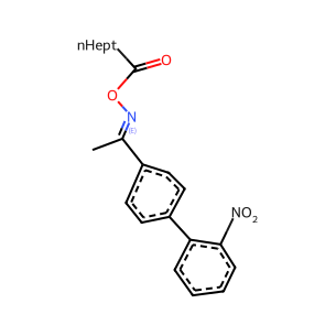 CCCCCCCC(=O)O/N=C(\C)c1ccc(-c2ccccc2[N+](=O)[O-])cc1